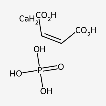 O=C(O)/C=C\C(=O)O.O=P(O)(O)O.[CaH2]